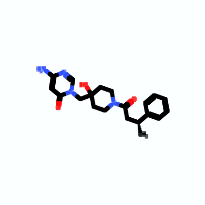 C[C@H](CC(=O)N1CCC(O)(Cn2cnc(N)cc2=O)CC1)c1ccccc1